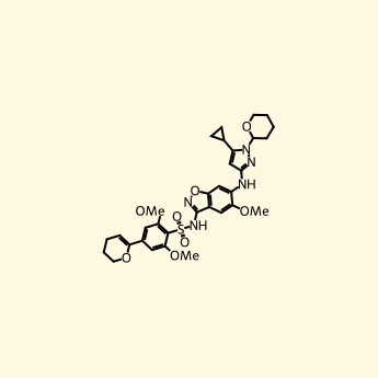 COc1cc2c(NS(=O)(=O)c3c(OC)cc(C4=CCCCO4)cc3OC)noc2cc1Nc1cc(C2CC2)n(C2CCCCO2)n1